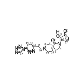 CC1=C(N2CCC3(CCN(CCc4ccc(-n5cnnn5)nn4)CC3)C2=O)COC1=O